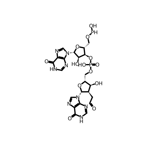 O=CC[C@@H]1[C@H](O)[C@@H](COP(=O)(O)O[C@H]2[C@@H](O)[C@H](n3cnc4c(=O)[nH]cnc43)O[C@@H]2COPO)O[C@H]1n1cnc2c(=O)[nH]cnc21